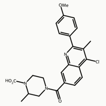 COc1ccc(-c2nc3cc(C(=O)N4CCN(C(=O)O)C(C)C4)ccc3c(Cl)c2C)cc1